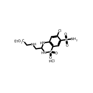 CCOC(=O)CNCC1Nc2cc(Cl)c(S(N)(=O)=O)cc2S(=O)(=O)N1.Cl